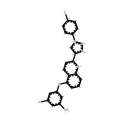 Cc1cc(F)cc(Oc2cccc3nc(-c4cn(-c5ccc(F)cc5)nn4)ccc23)c1